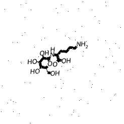 NCCCCC(NC1O[C@H](CO)[C@@H](O)[C@H](O)[C@H]1O)C(=O)O